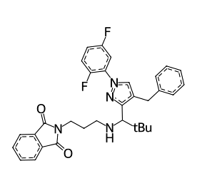 CC(C)(C)C(NCCCN1C(=O)c2ccccc2C1=O)c1nn(-c2cc(F)ccc2F)cc1Cc1ccccc1